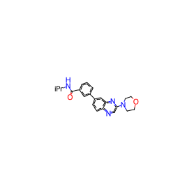 CC(C)NC(=O)c1cccc(-c2ccc3ncc(N4CCOCC4)nc3c2)c1